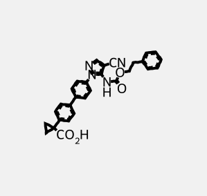 N#Cc1cnn(-c2ccc(-c3ccc(C4(C(=O)O)CC4)cc3)cc2)c1NC(=O)OCCc1ccccc1